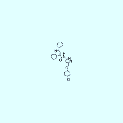 O=C(Nc1nnc(COc2ccc(Cl)cc2)s1)c1cc(-c2ccccc2)nc2ccccc12